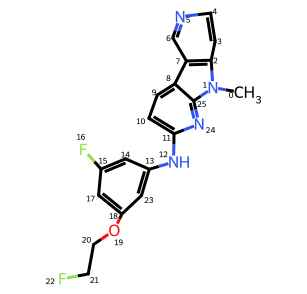 Cn1c2ccncc2c2ccc(Nc3cc(F)cc(OCCF)c3)nc21